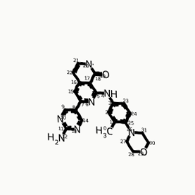 Cc1cc(Nc2nc(-c3cnc(N)nc3)cc3c2C(=O)[N]C=C3)ccc1N1CCOCC1